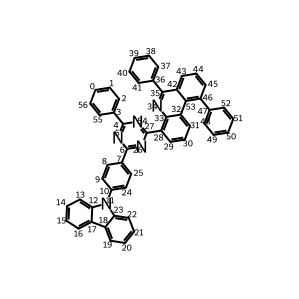 c1ccc(-c2nc(-c3ccc(-n4c5ccccc5c5ccccc54)cc3)nc(-c3cccc4c3nc(-c3ccccc3)c3cccc(-c5ccccc5)c34)n2)cc1